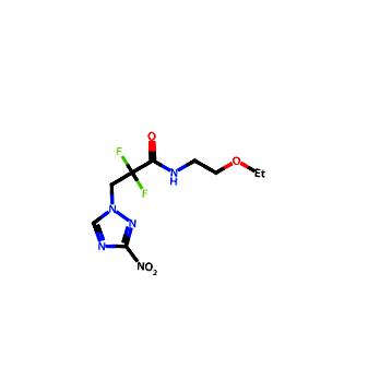 CCOCCNC(=O)C(F)(F)Cn1cnc([N+](=O)[O-])n1